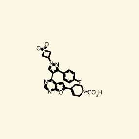 O=C(O)N1CC=C(c2cc3c(-c4cn(C5CS(=O)(=O)C5)nc4-c4ccc(F)cc4)ncnc3o2)CC1